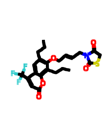 CCCc1cc2c(C(F)(F)F)cc(=O)oc2c(CCC)c1OCC=CCN1C(=O)CSC1=O